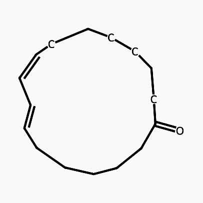 O=C1CCCCC/C=C/C=C\CCCCCC1